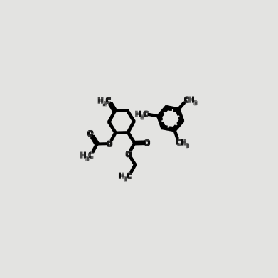 C=C1CCC(C(=O)OCC)C(OC(C)=O)C1.Cc1cc(C)cc(C)c1